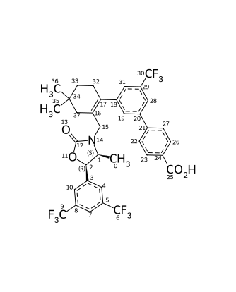 C[C@H]1[C@@H](c2cc(C(F)(F)F)cc(C(F)(F)F)c2)OC(=O)N1CC1=C(c2cc(-c3ccc(C(=O)O)cc3)cc(C(F)(F)F)c2)CCC(C)(C)C1